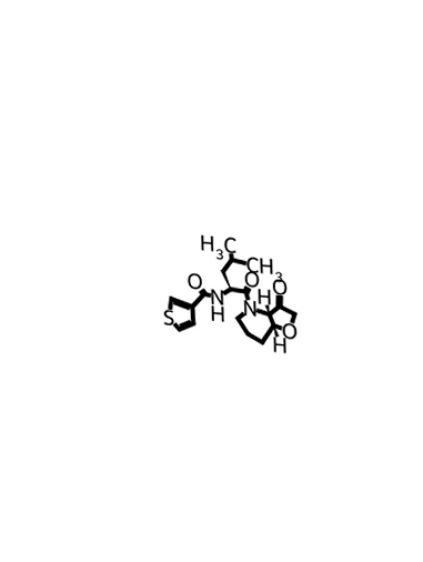 CC(C)C[C@H](NC(=O)c1ccsc1)C(=O)N1CCC[C@H]2OCC(=O)[C@H]21